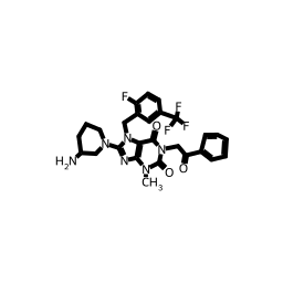 Cn1c(=O)n(CC(=O)c2ccccc2)c(=O)c2c1nc(N1CCCC(N)C1)n2Cc1cc(C(F)(F)F)ccc1F